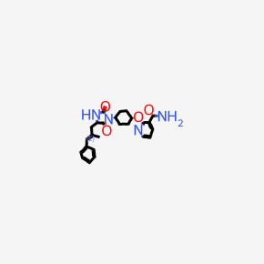 C/C(=C\c1ccccc1)CC1NC(=O)N([C@H]2CC[C@H](Oc3ncccc3C(N)=O)CC2)C1=O